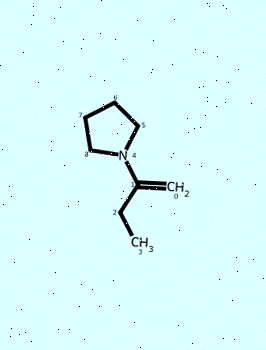 C=C(CC)N1CCCC1